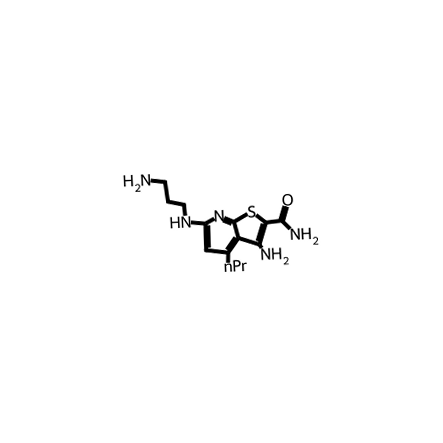 CCCc1cc(NCCCN)nc2sc(C(N)=O)c(N)c12